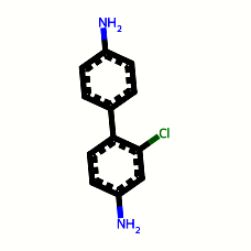 Nc1ccc(-c2ccc(N)cc2Cl)cc1